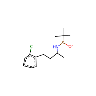 CC(CCc1ccccc1Cl)N[S+]([O-])C(C)(C)C